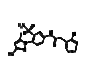 Cc1cc(O)nn1-c1ccc(NC(=O)Cc2ccccc2Cl)cc1S(N)(=O)=O